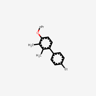 CCCOc1ccc(-c2ccc(CC)cc2)c(C)c1C